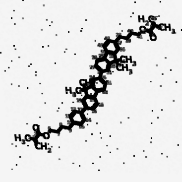 C=C(C)C(=O)OCCCCc1ccc(-c2ccc3c(c2)C(C)(C)c2cc(-c4ccc5c(c4)C(C)(C)c4cc(CCCCOC(=O)C(=C)C)ccc4-5)ccc2-3)cc1